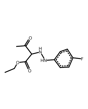 CCOC(=O)C(NNc1ccc(F)cc1)C(C)=O